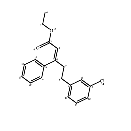 CCOC(=O)/C=C(/CCc1cccc(Cl)c1)c1ccccc1